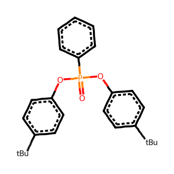 CC(C)(C)c1ccc(OP(=O)(Oc2ccc(C(C)(C)C)cc2)c2ccccc2)cc1